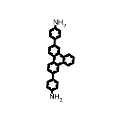 Nc1ccc(-c2ccc3c4ccc(-c5ccc(N)cc5)cc4c4ccccc4c3c2)cc1